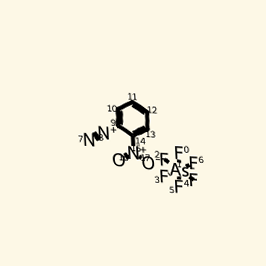 F[As-](F)(F)(F)(F)F.N#[N+]c1ccccc1[N+](=O)[O-]